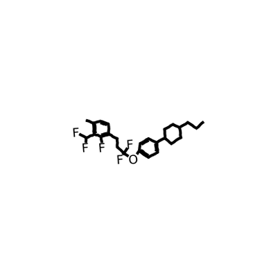 CCCC1CCC(c2ccc(OC(F)(F)CCc3ccc(C)c(C(F)F)c3F)cc2)CC1